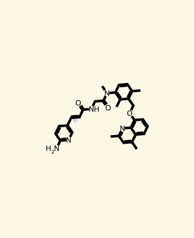 Cc1cc(C)c2cccc(OCc3c(C)ccc(N(C)C(=O)CNC(=O)/C=C/c4ccc(N)nc4)c3C)c2n1